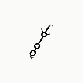 CCCc1ccc(-c2ccc(C#Cc3cc(F)c(C#CC(F)(F)F)c(F)c3)cc2)cc1